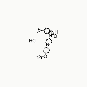 CCCOC1CCC(N2CCC(n3c(=O)[nH]c4ccc(C5CC5)cc43)CC2)CC1.Cl